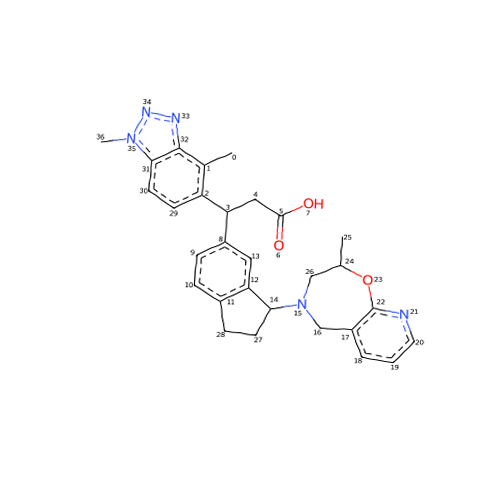 Cc1c(C(CC(=O)O)c2ccc3c(c2)C(N2Cc4cccnc4OC(C)C2)CC3)ccc2c1nnn2C